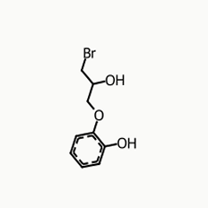 Oc1ccccc1OCC(O)CBr